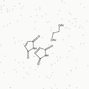 CC(=O)OCCOC(C)=O.O=C1C=CC(=O)N1.O=C1C=CC(=O)N1